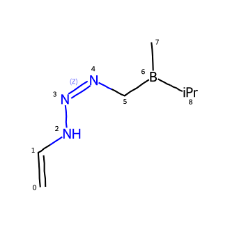 C=CN/N=N\CB(C)C(C)C